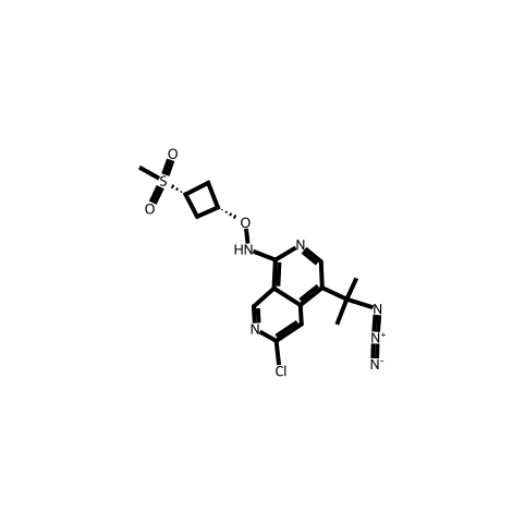 CC(C)(N=[N+]=[N-])c1cnc(NO[C@H]2C[C@@H](S(C)(=O)=O)C2)c2cnc(Cl)cc12